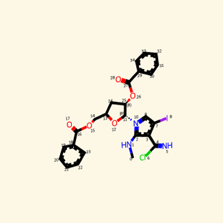 CNc1c(C(=N)Cl)c(I)cn1[C@@H]1OC(COC(=O)c2ccccc2)C[C@H]1OC(=O)c1ccccc1